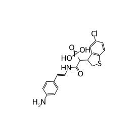 Nc1ccc(/C=C/NC(=O)C(C2CSc3ccc(Cl)cc32)P(=O)(O)O)cc1